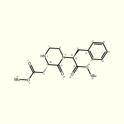 CC(C)(C)OC(=O)C[C@@H]1NCCN([C@@H](Cc2ccccc2)C(=O)OC(C)(C)C)C1=O